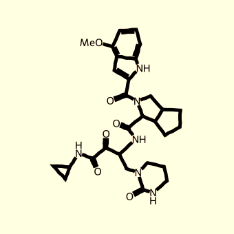 COc1cccc2[nH]c(C(=O)N3CC4CCCC4C3C(=O)NC(CN3CCCNC3=O)C(=O)C(=O)NC3CC3)cc12